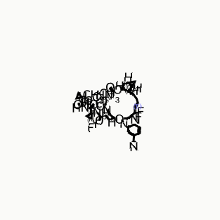 CC(C)(C)[C@@H]1NC(=O)O[C@@H]2C[C@@H]3C[C@@H]3[C@H]2CC/C=C/C(F)(F)c2nc3ccc(C#N)cc3nc2O[C@H]2C[C@@H](C(=O)N[C@]3(C(=O)NS(=O)(=O)C4(C)CC4)C[C@H]3C(F)F)N(C2)C1=O